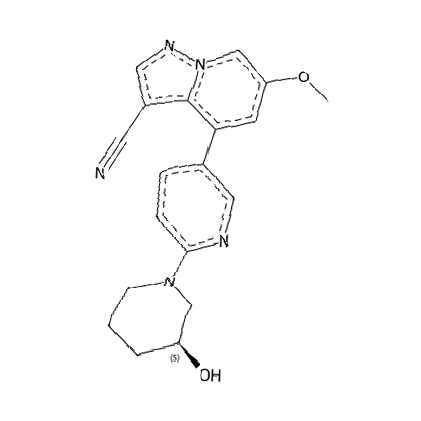 COc1cc(-c2ccc(N3CCC[C@H](O)C3)nc2)c2c(C#N)cnn2c1